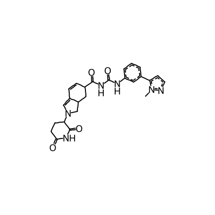 Cn1nccc1-c1cccc(NC(=O)NC(=O)C2C=CC3=CN(C4CCC(=O)NC4=O)CC3C2)c1